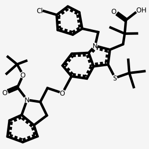 CC(C)(C)OC(=O)N1c2ccccc2CC1COc1ccc2c(c1)c(SC(C)(C)C)c(CC(C)(C)C(=O)O)n2Cc1ccc(Cl)cc1